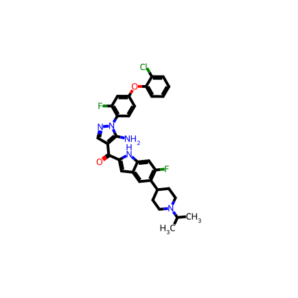 CC(C)N1CCC(c2cc3cc(C(=O)c4cnn(-c5ccc(Oc6ccccc6Cl)cc5F)c4N)[nH]c3cc2F)CC1